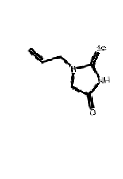 C=CCN1CC(=O)NC1=[Se]